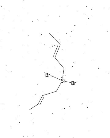 C/C=C/C[Si](Br)(Br)C/C=C/C